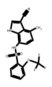 Cc1ccc(NS(=O)(=O)c2ccccc2OC(F)(F)F)c2[nH]cc(C#N)c12